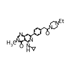 CCN1CCN(C(=O)Cc2ccc(-c3cc4ncn(C)c(=O)c4c(NC4CC4)n3)cc2)CC1